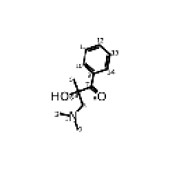 CN(C)CC(C)(O)C(=O)c1ccccc1